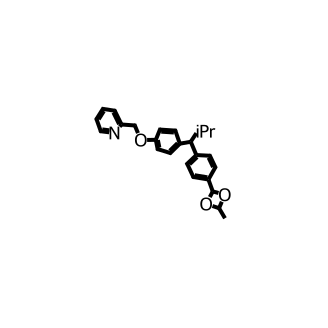 CC1OC(c2ccc(C(c3ccc(OCc4ccccn4)cc3)C(C)C)cc2)O1